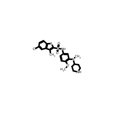 COc1ccc(NS(=O)(=O)c2sc3ccc(Cl)cc3c2C)cc1N(C)C1CCNCC1